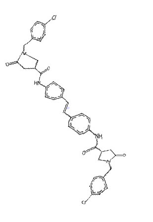 O=C(Nc1ccc(/C=C/c2ccc(NC(=O)C3CC(=O)N(Cc4ccc(Cl)cc4)C3)cc2)cc1)C1CC(=O)N(Cc2ccc(Cl)cc2)C1